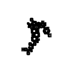 CC(C)C1=C2[C@H]3CCC4[C@@]5(C)CC[C@H](OC(=O)CC(C)(C)C(=O)O)C(C)(C)C5CC[C@@]4(C)[C@]3(C)CC[C@@]2(Cc2nnc(-c3ccc(Cl)cn3)o2)CC1=O